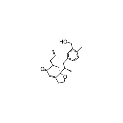 C=CC[C@H]1C[C@]2([C@H](C)Cc3ccc(C)c(CO)c3)OCCC2=CC1=O